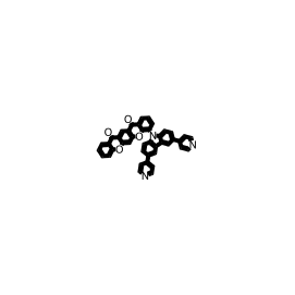 O=c1c2ccccc2oc2cc3oc4c(-n5c6ccc(-c7ccncc7)cc6c6cc(-c7ccncc7)ccc65)cccc4c(=O)c3cc12